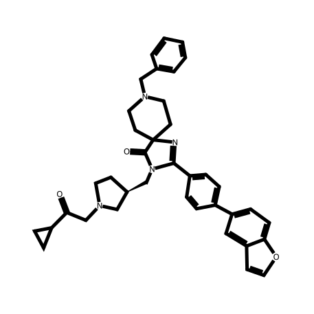 O=C(CN1CC[C@@H](CN2C(=O)C3(CCN(Cc4ccccc4)CC3)N=C2c2ccc(-c3ccc4occc4c3)cc2)C1)C1CC1